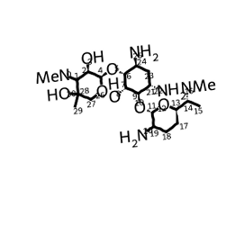 CNC1[C@@H](O)[C@@H](O[C@H]2[C@@H](O)[C@H](O[C@@H]3O[C@@H]([C@@H](C)NC)CCC3N)[C@@H](N)C[C@@H]2N)OCC1(C)O